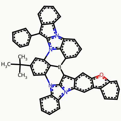 CC(C)(C)c1cc2c3c(c1)-n1c4c(cccc4n4c5ccccc5c(-c5ccccc5)c14)B3c1c3cc4oc5ccccc5c4cc3n3c4ccccc4n-2c13